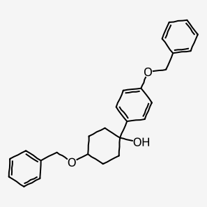 OC1(c2ccc(OCc3ccccc3)cc2)CCC(OCc2ccccc2)CC1